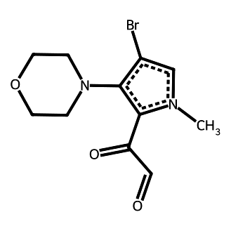 Cn1cc(Br)c(N2CCOCC2)c1C(=O)C=O